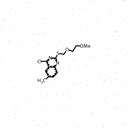 COCCOCSc1nc(Cl)c2cc(C)ccc2n1